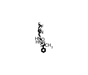 Cc1nc(NC(=O)NCCc2cn(CC(F)F)cn2)sc1-c1ccccc1